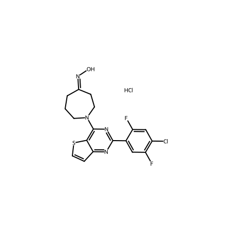 Cl.ON=C1CCCN(c2nc(-c3cc(F)c(Cl)cc3F)nc3ccsc23)CC1